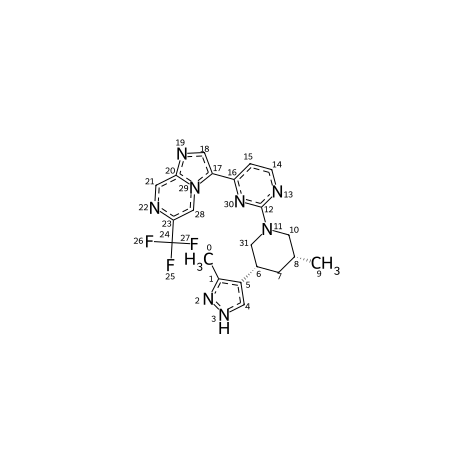 Cc1n[nH]cc1[C@H]1C[C@@H](C)CN(c2nccc(-c3cnc4cnc(C(F)(F)F)cn34)n2)C1